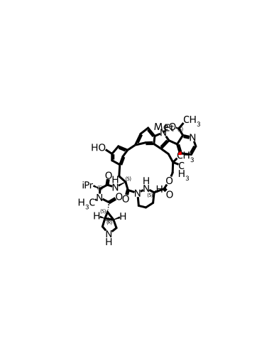 CCn1c(-c2cccnc2[C@H](C)OC)c2c3cc(ccc31)-c1cc(O)cc(c1)C[C@H](NC(=O)[C@H](C(C)C)N(C)C(=O)[C@@H]1[C@@H]3CNC[C@@H]31)C(=O)N1CCC[C@H](N1)C(=O)OCC(C)(C)C2